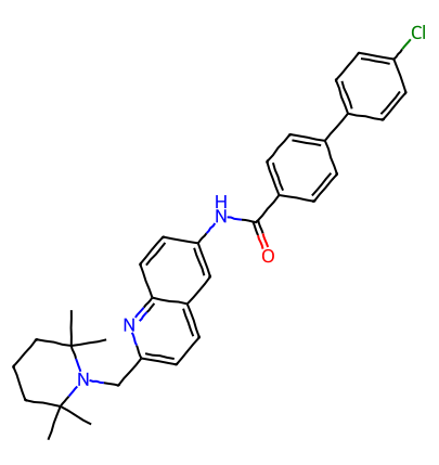 CC1(C)CCCC(C)(C)N1Cc1ccc2cc(NC(=O)c3ccc(-c4ccc(Cl)cc4)cc3)ccc2n1